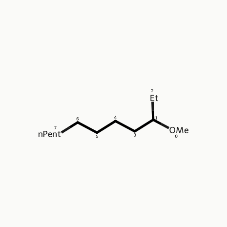 [CH2]OC(CC)CCCCCCCCC